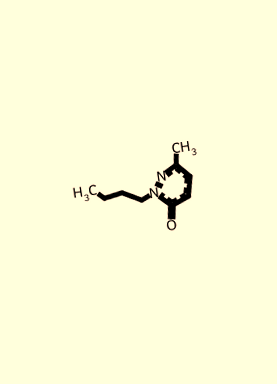 CCCCn1nc(C)ccc1=O